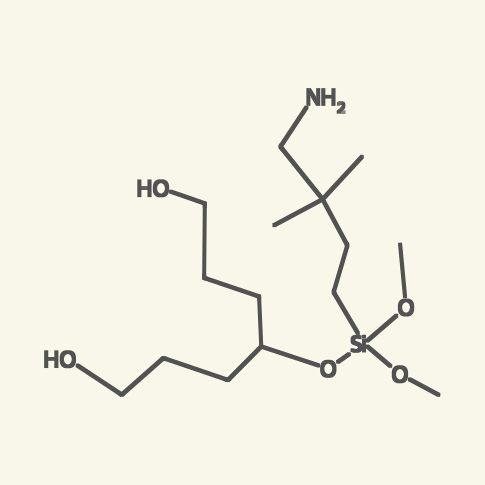 CO[Si](CCC(C)(C)CN)(OC)OC(CCCO)CCCO